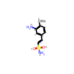 COc1ccc(/C=C/S(N)(=O)=O)cc1N